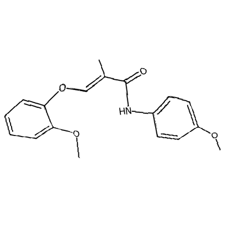 COc1ccc(NC(=O)C(C)=COc2ccccc2OC)cc1